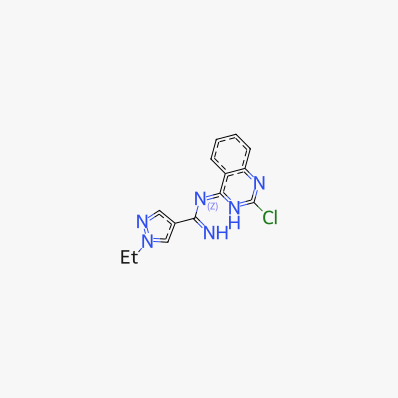 CCn1cc(C(=N)/N=c2\[nH]c(Cl)nc3ccccc23)cn1